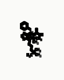 CC(C)(C)[C@H](C(=O)O)[C@@H](Cc1ccccc1)c1nnnn1COCC[Si](C)(C)C